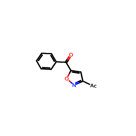 CC(=O)c1cc(C(=O)c2ccccc2)on1